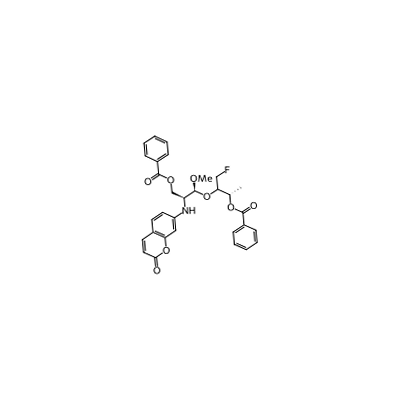 CO[C@@H](OC(CF)[C@H](C)OC(=O)c1ccccc1)[C@H](COC(=O)c1ccccc1)Nc1ccc2ccc(=O)oc2c1